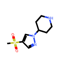 CS(=O)(=O)c1cnn(C2CCNCC2)c1